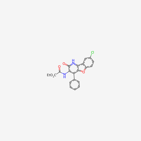 CCOC(=O)C(=O)Nc1c(-c2ccccc2)c2oc3ccc(Cl)cc3c2[nH]c1=O